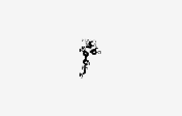 C[C@@H](Oc1cc(-n2cnc3cc(C4=CCC(NCCN(C)C)N=C4)ccc32)sc1C(N)=O)c1ccccc1Cl